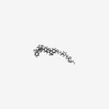 NCC(=O)OCC1CCN(CCCOc2ccc3c(Oc4ccc(NC(=O)C5(C(=O)Nc6ccccc6)CC5)cc4F)ccnc3c2)C1